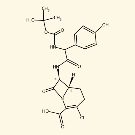 CC(C)(C)OC(=O)NC(C(=O)N[C@@H]1C(=O)N2C(C(=O)O)=C(Cl)CC[C@@H]12)c1ccc(O)cc1